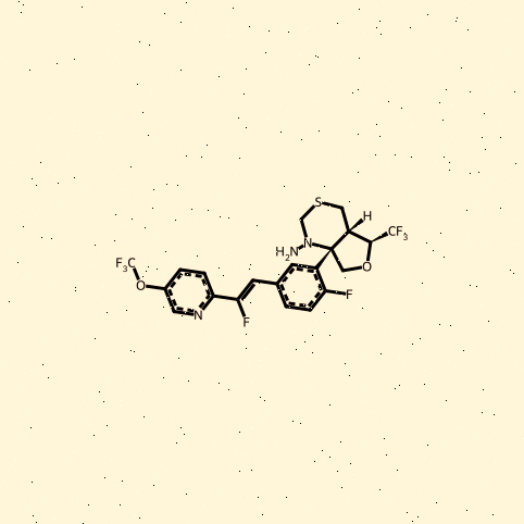 NN1CSC[C@@H]2[C@@H](C(F)(F)F)OC[C@@]21c1cc(/C=C(\F)c2ccc(OC(F)(F)F)cn2)ccc1F